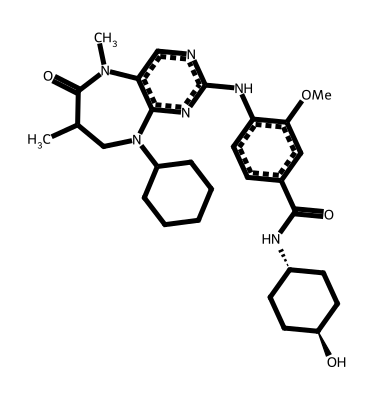 COc1cc(C(=O)N[C@H]2CC[C@H](O)CC2)ccc1Nc1ncc2c(n1)N(C1CCCCC1)CC(C)C(=O)N2C